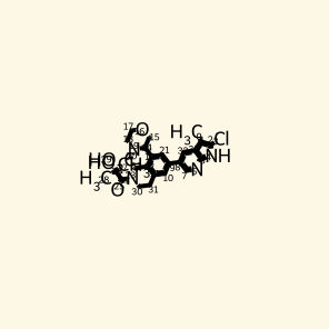 Cc1c(Cl)[nH]c2ncc(-c3cc4c(c(C5COCCN5C(=O)O)c3)CN(C(=O)C(C)(C)O)CC4)cc12